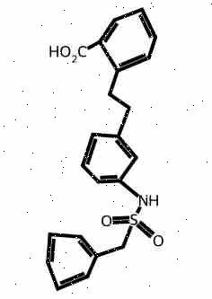 O=C(O)c1ccccc1CCc1cccc(NS(=O)(=O)Cc2ccccc2)c1